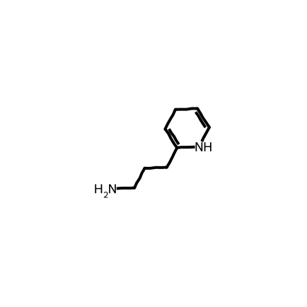 NCCCC1=CCC=CN1